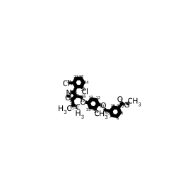 COC(=O)c1cccc(COc2ccc(OCc3c(-c4c(Cl)cccc4Cl)noc3C(C)C)cc2C)c1